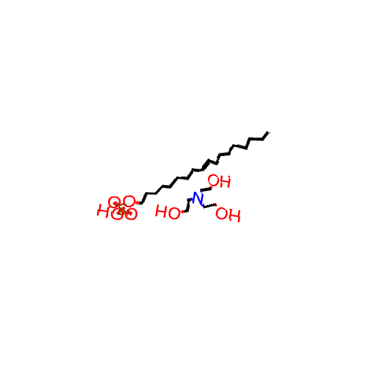 CCCCCCCCC=CCCCCCCCCOS(=O)(=O)O.OCCN(CCO)CCO